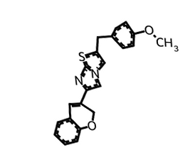 COc1ccc(Cc2cn3cc(C4=Cc5ccccc5OC4)nc3s2)cc1